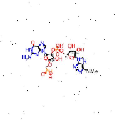 CNc1ncnc2c1ncn2[C@@H]1O[C@H](COP(=O)(O)O[C@H]2[C@@H](O)[C@@H](OC[PH](=O)O)O[C@H]2n2cnc3c(=O)[nH]c(N)nc32)[C@H](O)[C@@H]1O